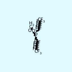 C=CC(=O)OCC(CSCCC(F)(F)C(F)(F)C(F)(F)C(F)(F)C(F)(F)C(F)(F)F)SCCC(F)(F)C(F)(F)C(F)(F)C(F)(F)C(F)(F)C(F)(F)F